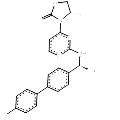 CC(C)[C@H]1COC(=O)N1c1ccnc(N[C@@H](C)c2ccc(-c3ccc(C(C)(C)C)cc3)cc2)n1